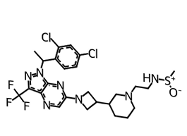 CC(c1ccc(Cl)cc1Cl)n1nc(C(F)(F)F)c2ncc(N3CC(C4CCCN(CCN[S+](C)[O-])C4)C3)nc21